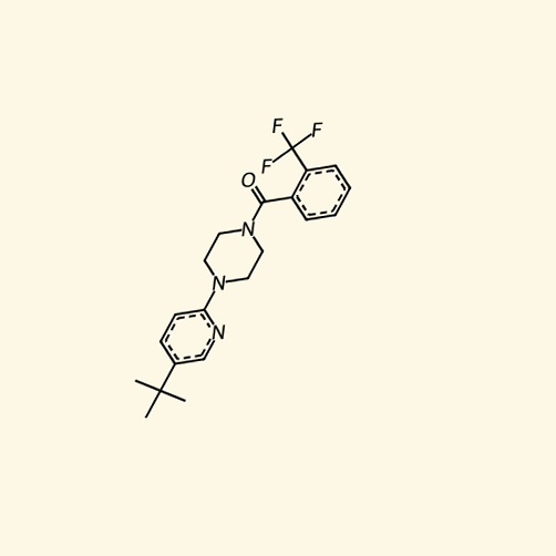 CC(C)(C)c1ccc(N2CCN(C(=O)c3ccccc3C(F)(F)F)CC2)nc1